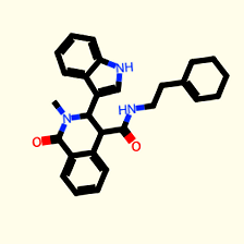 CN1C(=O)c2ccccc2C(C(=O)NCCC2=CCCCC2)C1c1c[nH]c2ccccc12